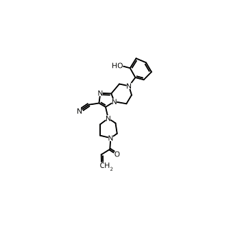 C=CC(=O)N1CCN(c2c(C#N)nc3n2CCN(c2ccccc2O)C3)CC1